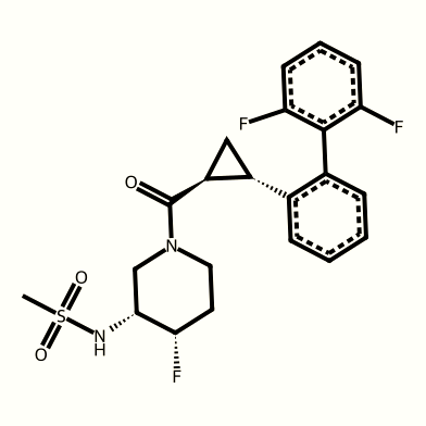 CS(=O)(=O)N[C@@H]1CN(C(=O)[C@H]2C[C@@H]2c2ccccc2-c2c(F)cccc2F)CC[C@@H]1F